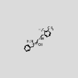 Cc1cccc(CNC[C@@H](O)[C@@H](N)Cc2ccccc2)c1C